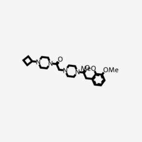 COc1cccc(CC(=O)N2CCN(CC(=O)N3CCN(C4CCC4)CC3)CC2)c1OC